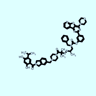 CC(C)c1cc(C(=O)N2Cc3ccc(CN4CCN(C(=O)C(C)(C)SS[C@H](C)CN(Cc5ccccc5)C(=O)Oc5cccc(-c6nc(N7CCOCC7)c7oc8ncccc8c7n6)c5)CC4)cc3C2)c(O)cc1O